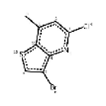 Cc1cc(Cl)nc2c(Br)csc12